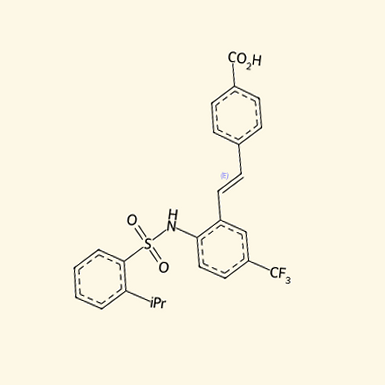 CC(C)c1ccccc1S(=O)(=O)Nc1ccc(C(F)(F)F)cc1/C=C/c1ccc(C(=O)O)cc1